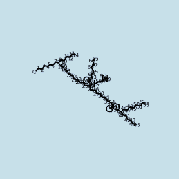 CCCCCCCCC(CCCCCC)COCCCCCCCCCC(CCCCCCCCC(=O)OCC(CCCCCC)CCCCCCCC)N(CCCN(C)C)C(=O)CCCCCCC